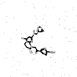 CNc1ccc(C(=O)CN2c3nc(NC[C@H]4OCN5CC45)cc(=O)n3CC[C@H]2C(F)(F)F)cn1